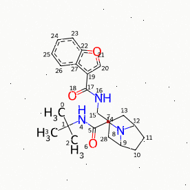 CC(C)(C)NC(=O)CN1C2CCC1CC(CNC(=O)c1coc3ccccc13)C2